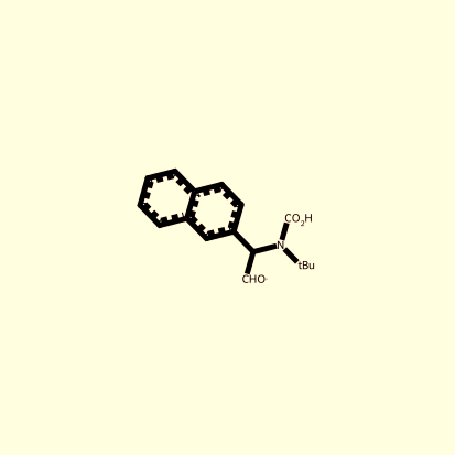 CC(C)(C)N(C(=O)O)C([C]=O)c1ccc2ccccc2c1